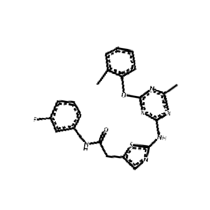 Cc1nc(Nc2ncc(CC(=O)Nc3cccc(F)c3)s2)nc(Oc2ccccc2C)n1